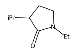 CCN1CCC(C(C)C)C1=O